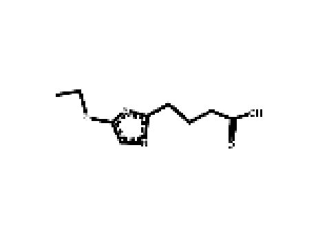 CCOc1cnc(CCCC(=O)O)s1